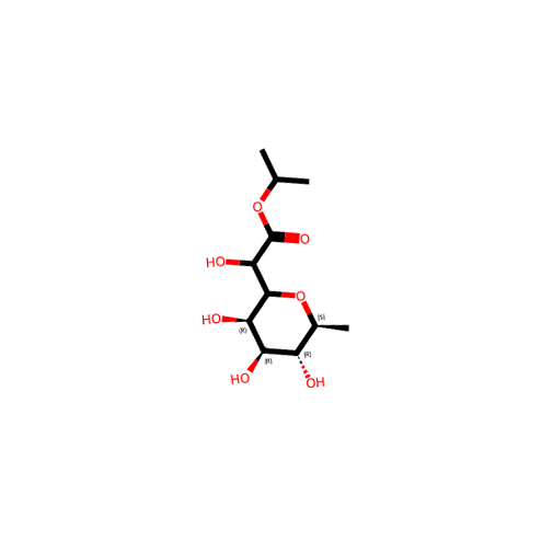 CC(C)OC(=O)C(O)C1O[C@@H](C)[C@H](O)[C@@H](O)[C@H]1O